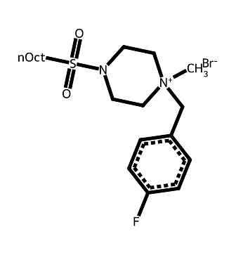 CCCCCCCCS(=O)(=O)N1CC[N+](C)(Cc2ccc(F)cc2)CC1.[Br-]